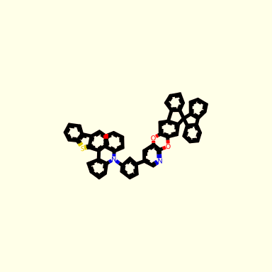 c1ccc(N(c2cccc(-c3cnc4c(c3)Oc3cc5c(cc3O4)C3(c4ccccc4-c4ccccc43)c3ccccc3-5)c2)c2ccccc2-c2cccc3c2sc2ccccc23)cc1